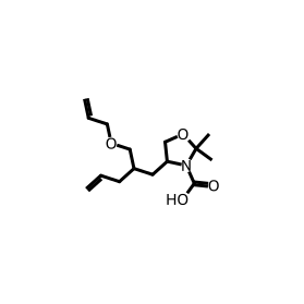 C=CCOCC(CC=C)CC1COC(C)(C)N1C(=O)O